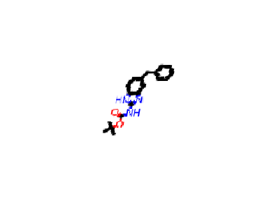 CC(C)(C)OC(=O)Nc1nc2cc(Cc3ccccc3)ccc2[nH]1